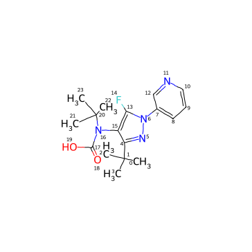 CC(C)(C)c1nn(-c2cccnc2)c(F)c1N(C(=O)O)C(C)(C)C